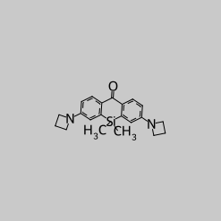 C[Si]1(C)c2cc(N3CCC3)ccc2C(=O)c2ccc(N3CCC3)cc21